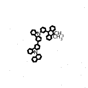 CC1(C)c2ccccc2C(c2cccc(-n3c4ccccc4c4cc(-c5ccc6c(c5)c5ccccc5n6-c5cccc6ccccc56)ccc43)c2)c2ccccc21